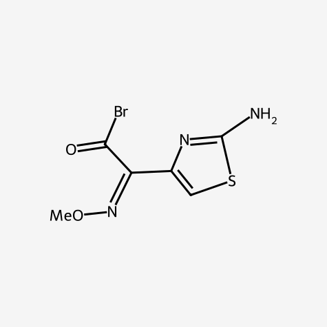 CON=C(C(=O)Br)c1csc(N)n1